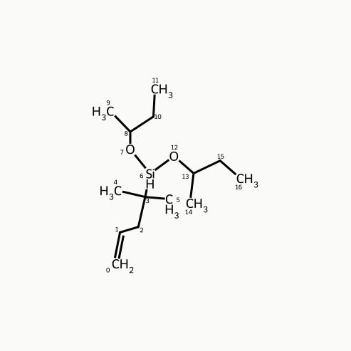 C=CCC(C)(C)[SiH](OC(C)CC)OC(C)CC